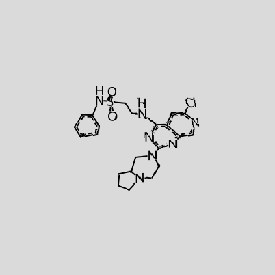 O=S(=O)(CCNc1nc(N2CCN3CCCC3C2)nc2cnc(Cl)cc12)Nc1ccccc1